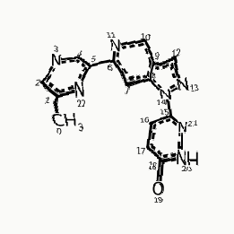 Cc1cncc(-c2cc3c(cn2)cnn3-c2ccc(=O)[nH]n2)n1